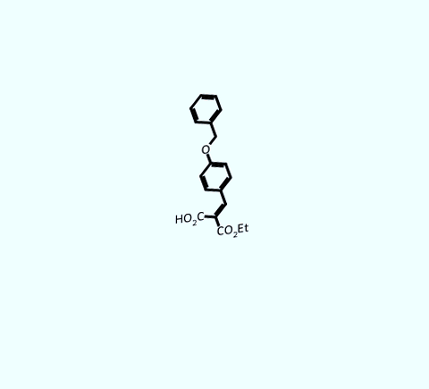 CCOC(=O)C(=Cc1ccc(OCc2ccccc2)cc1)C(=O)O